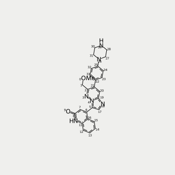 COCc1nn2c(-c3cc(=O)[nH]c4ccccc34)cnc2cc1-c1ccc(N2CCNCC2)cc1